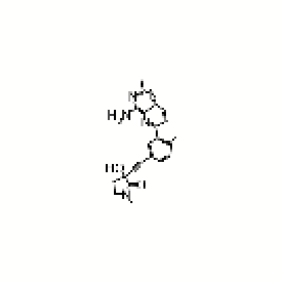 Cc1nc(N)c2nc(-c3cc(C#CC4(O)CCN(C)C4=O)ccc3C)ccc2n1